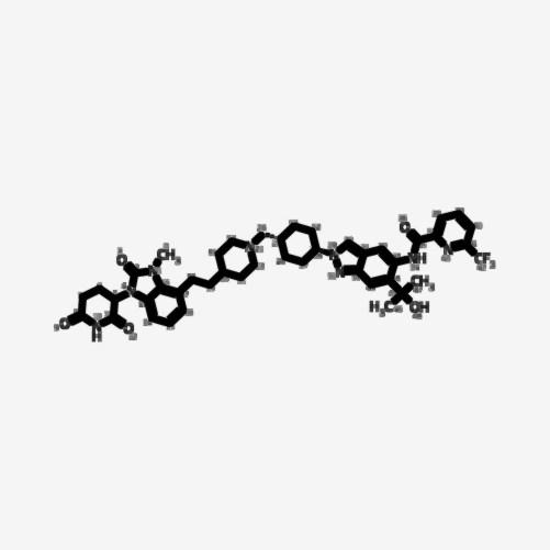 Cn1c(=O)n(C2CCC(=O)NC2=O)c2cccc(CCC3CCN(C[C@H]4CC[C@H](n5cc6cc(NC(=O)c7cccc(C(F)(F)F)n7)c(C(C)(C)O)cc6n5)CC4)CC3)c21